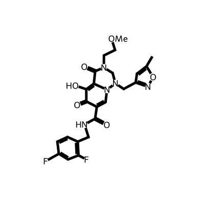 COCCN1CN(Cc2cc(C)on2)n2cc(C(=O)NCc3ccc(F)cc3F)c(=O)c(O)c2C1=O